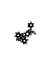 C[N+]1(CCc2ccccn2)CCC(OC(=O)C(O)(c2ccccc2)c2ccccc2)CC1